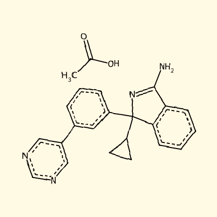 CC(=O)O.NC1=NC(c2cccc(-c3cncnc3)c2)(C2CC2)c2ccccc21